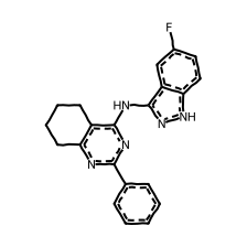 Fc1ccc2[nH]nc(Nc3nc(-c4ccccc4)nc4c3CCCC4)c2c1